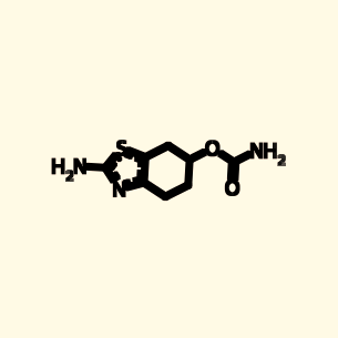 NC(=O)OC1CCc2nc(N)sc2C1